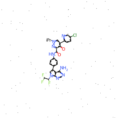 CC(C)n1cc(-c2ccc(Cl)cn2)c(=O)c(C(=O)Nc2ccc(-c3cn(C(F)C(F)F)c4ncnc(N)c34)cc2)n1